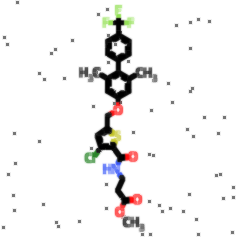 COC(=O)CCNC(=O)c1sc(COc2cc(C)c(-c3ccc(C(F)(F)F)cc3)c(C)c2)cc1Cl